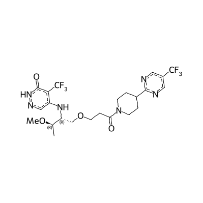 CO[C@H](C)[C@@H](COCCC(=O)N1CCC(c2ncc(C(F)(F)F)cn2)CC1)Nc1cn[nH]c(=O)c1C(F)(F)F